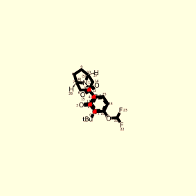 CC(C)(C)OC(=O)NC1C[C@H]2CC[C@@H](C1)N2S(=O)(=O)c1ccc(OC(F)F)cc1